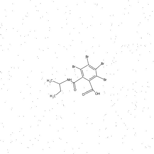 CCC(C)NC(=O)c1c(Br)c(Br)c(Br)c(Br)c1C(=O)O